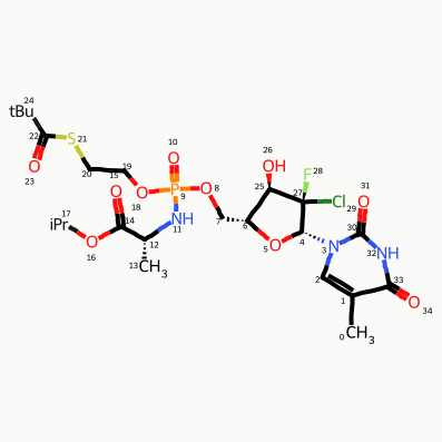 Cc1cn([C@@H]2O[C@H](COP(=O)(N[C@H](C)C(=O)OC(C)C)OCCSC(=O)C(C)(C)C)[C@@H](O)[C@]2(F)Cl)c(=O)[nH]c1=O